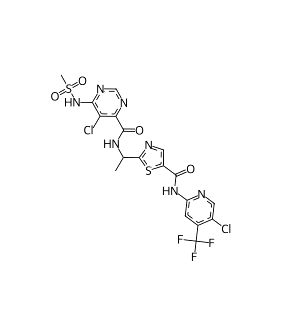 CC(NC(=O)c1ncnc(NS(C)(=O)=O)c1Cl)c1ncc(C(=O)Nc2cc(C(F)(F)F)c(Cl)cn2)s1